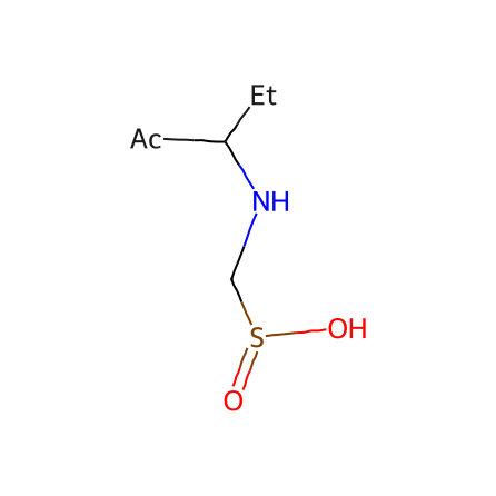 CCC(NCS(=O)O)C(C)=O